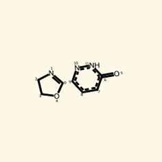 C1=NCCO1.O=c1cccn[nH]1